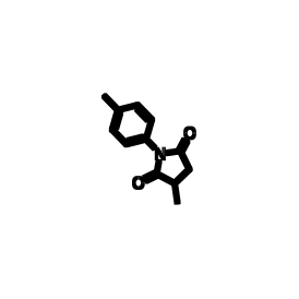 Cc1ccc(N2C(=O)CC(C)C2=O)cc1